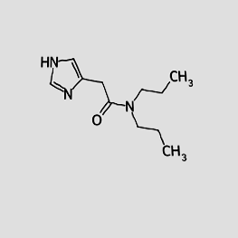 CCCN(CCC)C(=O)Cc1c[nH]cn1